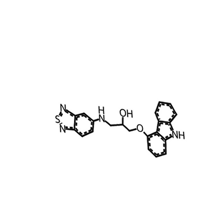 OC(CNc1ccc2nsnc2c1)COc1cccc2[nH]c3ccccc3c12